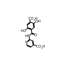 O=C(O)c1ccnc(NC(=O)c2cc(O)c(C(=O)O)cc2O)c1